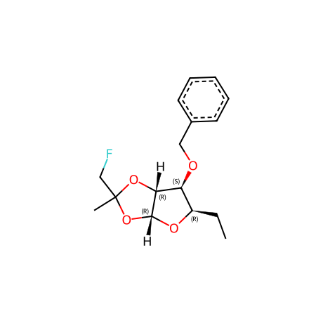 CC[C@H]1O[C@@H]2OC(C)(CF)O[C@@H]2[C@H]1OCc1ccccc1